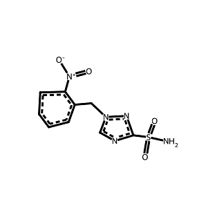 NS(=O)(=O)c1ncn(Cc2ccccc2[N+](=O)[O-])n1